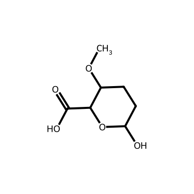 COC1CCC(O)OC1C(=O)O